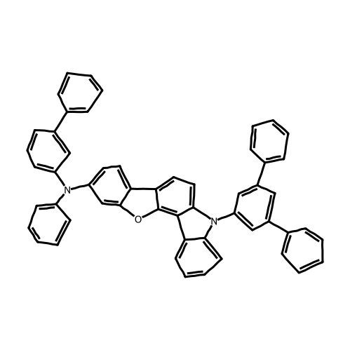 c1ccc(-c2cccc(N(c3ccccc3)c3ccc4c(c3)oc3c4ccc4c3c3ccccc3n4-c3cc(-c4ccccc4)cc(-c4ccccc4)c3)c2)cc1